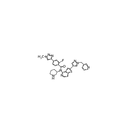 Cn1cc(-c2ccc(C(=O)N(c3nccc4sc(-c5cnn(Cc6cccnc6)c5)cc34)[C@@H]3CCCNC3)c(F)c2)nn1